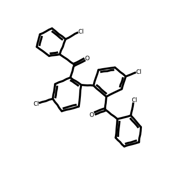 O=C(c1ccccc1Cl)c1cc(Cl)ccc1-c1ccc(Cl)cc1C(=O)c1ccccc1Cl